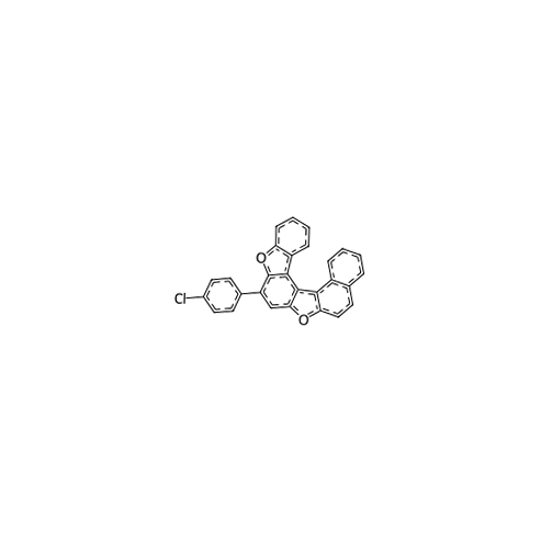 Clc1ccc(-c2cc3oc4ccc5ccccc5c4c3c3c2oc2ccccc23)cc1